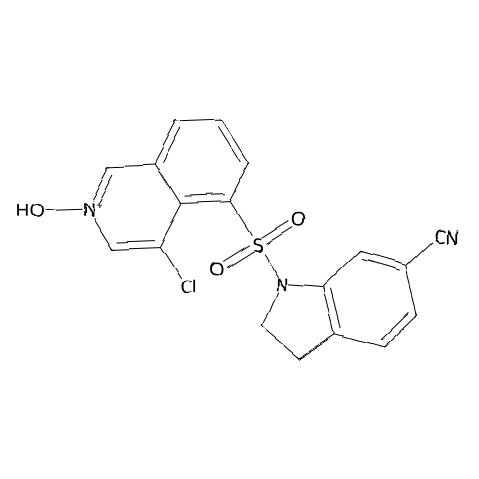 N#Cc1ccc2c(c1)N(S(=O)(=O)c1cccc3c[n+](O)cc(Cl)c13)CC2